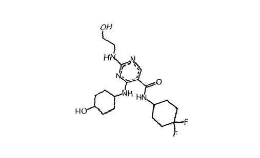 O=C(NC1CCC(F)(F)CC1)c1cnc(NCCO)nc1NC1CCC(O)CC1